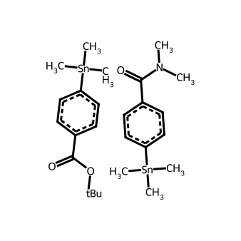 CC(C)(C)OC(=O)c1cc[c]([Sn]([CH3])([CH3])[CH3])cc1.CN(C)C(=O)c1cc[c]([Sn]([CH3])([CH3])[CH3])cc1